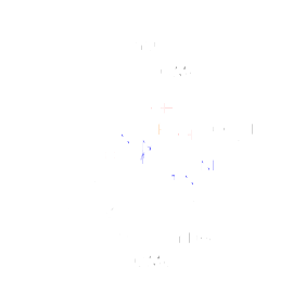 CCCCCCCCC(CCCN(NP(O)O)OC(c1ccccc1)(c1ccccc1)c1ccc(OC)cc1)OC.CCCCCCCCCCCCNNCC(=O)O